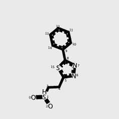 O=[SH](=O)CCc1nnc(-c2ccccc2)s1